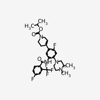 CC(C)OC(=O)N1CC=C(c2cc(NC(=O)c3ccc(F)cc3C(F)(F)F)c(N3CCN(C)[C@H](C)C3)cc2F)CC1